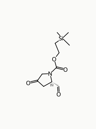 C[Si](C)(C)CCOC(=O)N1CC(=O)C[C@H]1C=O